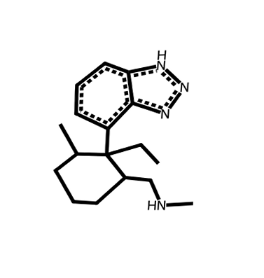 CCC1(c2cccc3[nH]nnc23)C(C)CCCC1CNC